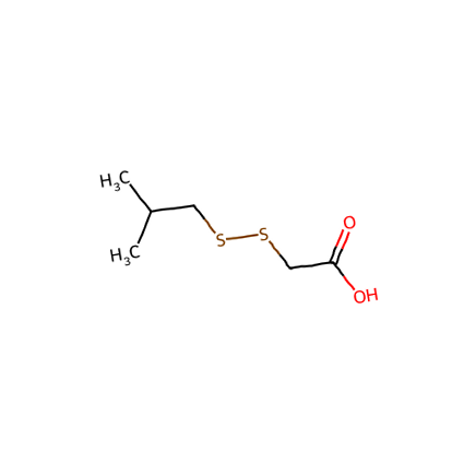 CC(C)CSSCC(=O)O